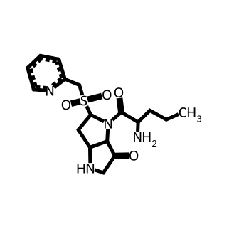 CCCC(N)C(=O)N1C2C(=O)CNC2CC1S(=O)(=O)Cc1ccccn1